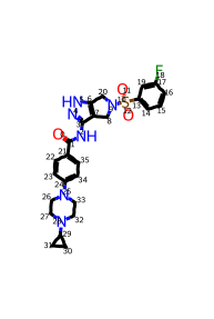 O=C(Nc1n[nH]c2c1CN(S(=O)(=O)c1cccc(F)c1)C2)c1ccc(N2CCN(C3CC3)CC2)cc1